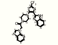 O=C(Cn1cnc2cccnc21)N1CCN(c2sc(C(F)(F)F)nc2-c2nc3ccccc3[nH]2)CC1